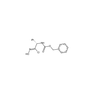 CC(C)[C@H](NC(=O)OCc1ccccc1)C(Cl)=NO